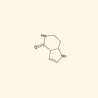 O=C1NCCC2NC=CC12